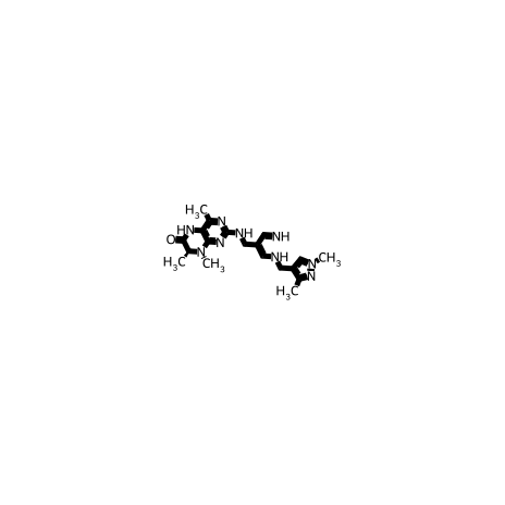 Cc1nn(C)cc1CN/C=C(\C=N)CNc1nc(C)c2c(n1)N(C)[C@@H](C)C(=O)N2